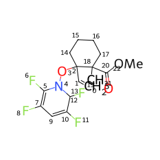 C=CC1(ON2C(F)=C(F)C=C(F)C2F)CCCCC1(C)C(=O)OC